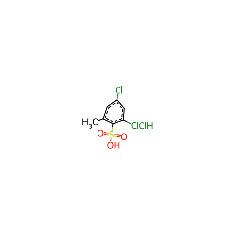 Cc1cc(Cl)cc(Cl)c1S(=O)(=O)O.Cl